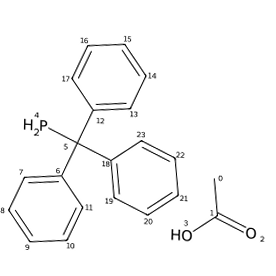 CC(=O)O.PC(c1ccccc1)(c1ccccc1)c1ccccc1